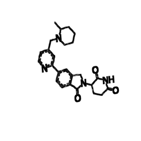 CC1CCCCN1Cc1ccnc(-c2ccc3c(c2)CN(C2CCC(=O)NC2=O)C3=O)c1